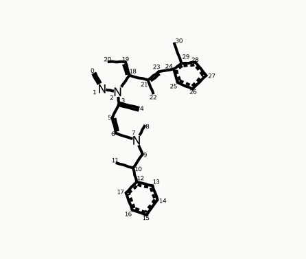 C=NN(C(=C)/C=C\N(C)CC(C)c1ccccc1)C(=C\C)/C(C)=C/c1ccccc1C